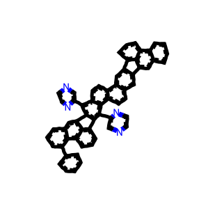 c1ccc(-c2cccc3cc4c5c(cccc5c23)-c2c-4c(-c3cnccn3)c3ccc4c5cc6c(cc5ccc4c3c2-c2cnccn2)-c2cc3ccccc3c3cccc-6c23)cc1